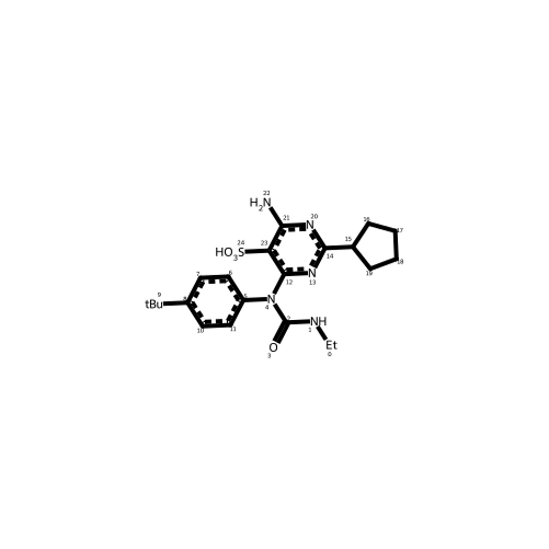 CCNC(=O)N(c1ccc(C(C)(C)C)cc1)c1nc(C2CCCC2)nc(N)c1S(=O)(=O)O